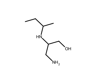 CCC(C)NC(CN)CO